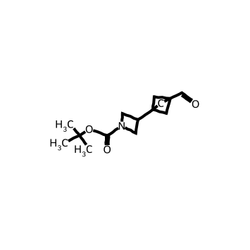 CC(C)(C)OC(=O)N1CC(C23CC(C=O)(C2)C3)C1